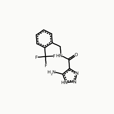 Nc1[nH]nnc1C(=O)NCc1ccccc1C(F)(F)F